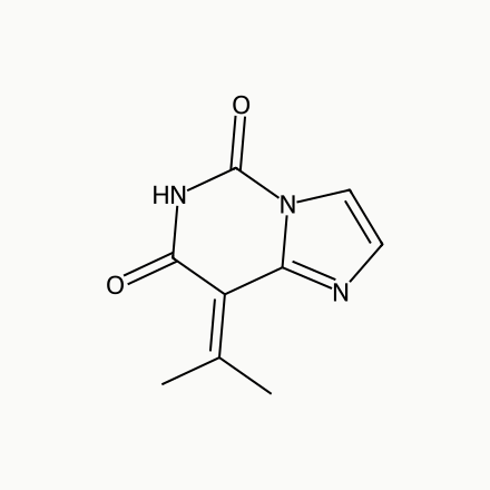 CC(C)=c1c(=O)[nH]c(=O)n2ccnc12